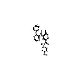 Cc1ccc(C(=O)NC2CCC(C(C)(C)C)CC2)cc1Nc1ncccc1-c1ccncn1